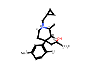 CCc1ccc(OC)cc1C1(CC(O)C(=O)O)CCN(CC2CC2)C(C)C1C